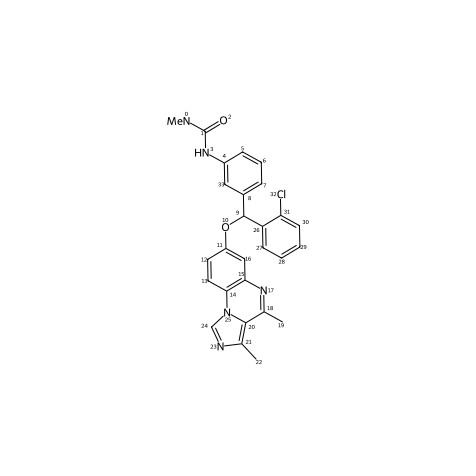 CNC(=O)Nc1cccc(C(Oc2ccc3c(c2)nc(C)c2c(C)ncn23)c2ccccc2Cl)c1